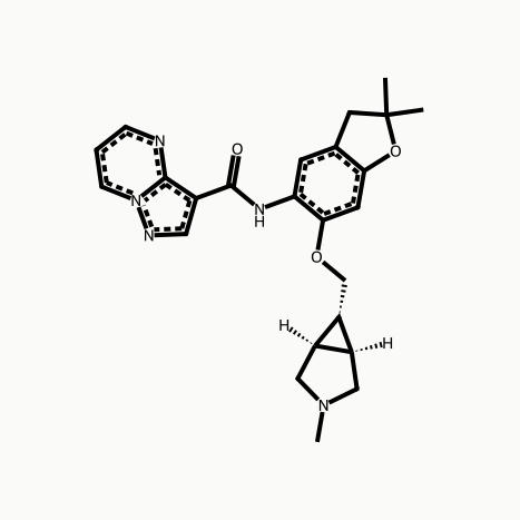 CN1C[C@@H]2[C@@H](COc3cc4c(cc3NC(=O)c3cnn5cccnc35)CC(C)(C)O4)[C@@H]2C1